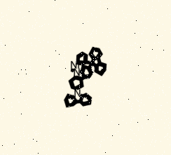 N=Cn1c2ccc(N3c4ccccc4C4C=CC=CC43)cc2c2ccc(C3(c4ccccc4)c4ccccc4-c4ccccc43)cc21